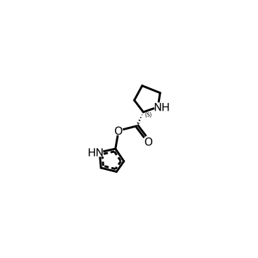 O=C(Oc1ccc[nH]1)[C@@H]1CCCN1